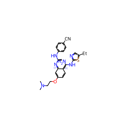 C=C(/N=C1/C=C(OCCN(C)C)C=C/C1=C(/N)Nc1ncc(CC)s1)Nc1ccc(C#N)cc1